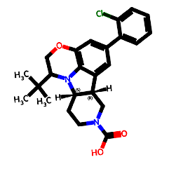 CC(C)(C)C1COc2cc(-c3ccccc3Cl)cc3c2N1[C@H]1CCN(C(=O)O)C[C@@H]31